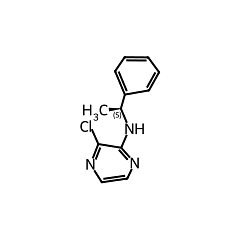 C[C@H](Nc1nccnc1Cl)c1ccccc1